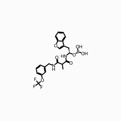 CC(C(=O)NCc1cccc(OC(F)(F)F)c1)C(=O)N[C@@H](Cc1coc2ccccc12)OB(O)O